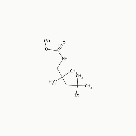 CCC(C)(C)CC(C)(C)CNC(=O)OC(C)(C)C